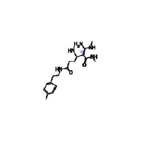 CNC(=O)/C(=C(/N)NC)C(CCC(=O)NCCc1ccc(C)cc1)NC